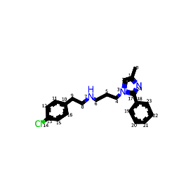 Cc1cn(CCCNCCc2ccc(Cl)cc2)c(-c2ccccc2)n1